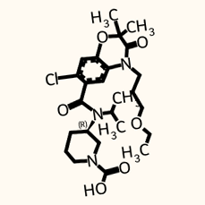 CCOCCCN1C(=O)C(C)(C)Oc2cc(Cl)c(C(=O)N(C(C)C)[C@@H]3CCCN(C(=O)O)C3)cc21